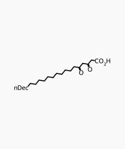 CCCCCCCCCCCCCCCCCCCCCC(=O)CC(=O)CC(=O)O